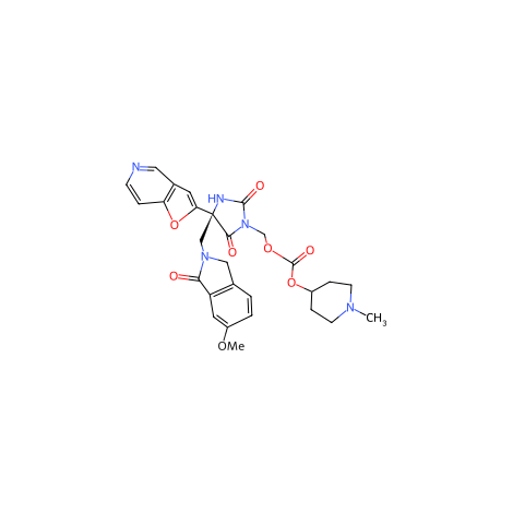 COc1ccc2c(c1)C(=O)N(C[C@@]1(c3cc4cnccc4o3)NC(=O)N(COC(=O)OC3CCN(C)CC3)C1=O)C2